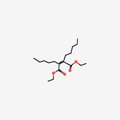 CCCCC/C(C(=O)OCC)=C(\CCCCC)C(=O)OCC